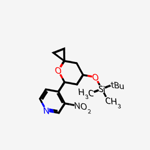 CC(C)(C)[Si](C)(C)OC1CC(c2ccncc2[N+](=O)[O-])OC2(CC2)C1